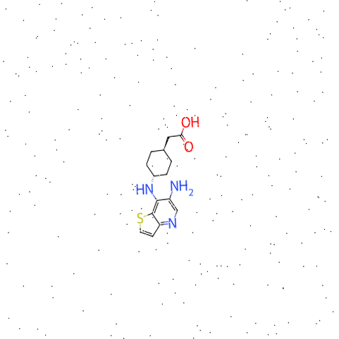 Nc1cnc2ccsc2c1N[C@H]1CC[C@H](CC(=O)O)CC1